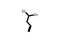 C=CC[CH]([Zn])CC